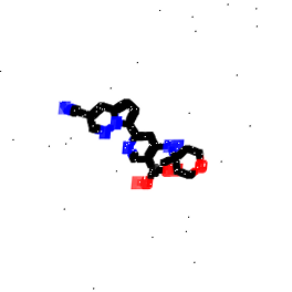 CC1(Nc2cc(-c3ccc4cc(C#N)cnn34)ncc2B(O)O)CCOCC1